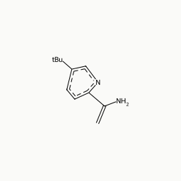 C=C(N)c1ccc(C(C)(C)C)cn1